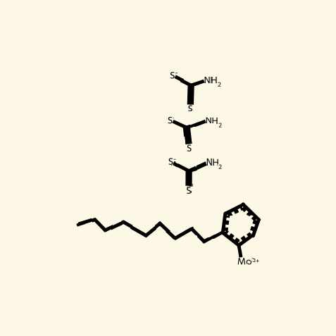 CCCCCCCCCc1cccc[c]1[Mo+3].NC(=S)[S-].NC(=S)[S-].NC(=S)[S-]